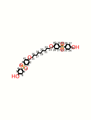 O=S(=O)(c1ccc(O)cc1)c1ccc(OCCCCCCCCCOc2ccc(S(=O)(=O)c3ccc(O)cc3)cc2)cc1